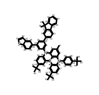 Cc1cc2c3c(c1)N(c1cc(-c4ccc5c(c4)C(C)(C)c4ccccc4-5)cc(-c4ccc5sccc5c4)c1)c1ccc(C(C)(C)C)cc1B3c1cc(C(C)(C)C)ccc1N2c1ccc(C(C)(C)C)cc1